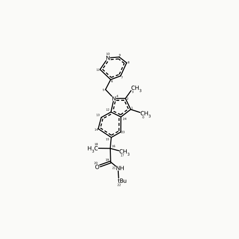 Cc1c(C)n(Cc2cccnc2)c2ccc(C(C)(C)C(=O)NC(C)(C)C)cc12